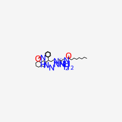 CCCCCCCC(=O)NC/C(N)=C/N(N)CCC(c1ccccc1NC=O)C1CC2CCCCC2CN1C#N